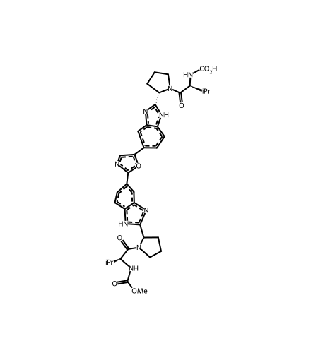 COC(=O)N[C@H](C(=O)N1CCCC1c1nc2cc(-c3ncc(-c4ccc5[nH]c([C@@H]6CCCN6C(=O)[C@@H](NC(=O)O)C(C)C)nc5c4)o3)ccc2[nH]1)C(C)C